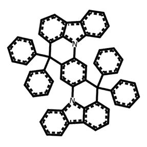 c1ccc(C2(c3ccccc3)c3cc4c(cc3-n3c5ccccc5c5cccc2c53)C(c2ccccc2)(c2ccccc2)c2cccc3c5ccccc5n-4c23)cc1